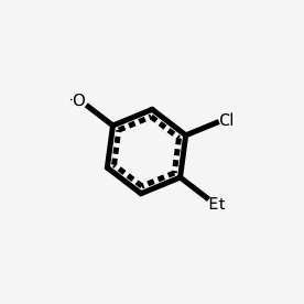 CCc1ccc([O])cc1Cl